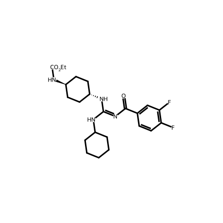 CCOC(=O)N[C@H]1CC[C@H](N/C(=N\C(=O)c2ccc(F)c(F)c2)NC2CCCCC2)CC1